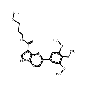 COCCCNC(=O)c1c[nH]c2ncc(-c3cc(OC)c(OC)c(OC)c3)nc12